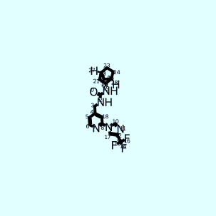 O=C(NCc1ccnc(-n2cnc(C(F)(F)F)c2)c1)N[C@H]1C[C@@H]2CC[C@H]1C2